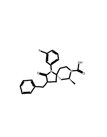 C[C@H]1C[C@]2(CCN1C(=O)O)CC(Cc1ccccc1)C(=O)N2c1cccc(F)c1